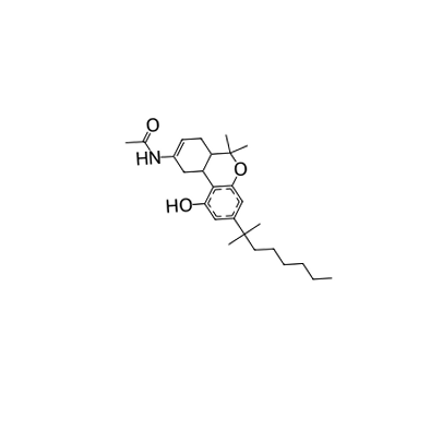 CCCCCCC(C)(C)c1cc(O)c2c(c1)OC(C)(C)C1CC=C(NC(C)=O)CC21